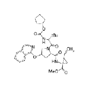 C=CC1CC1(NC(=O)C1CC(Oc2nccc3ccccc23)CN1C(=O)C(NC(=O)OC1CCCC1)C(C)(C)C)C(=O)OC